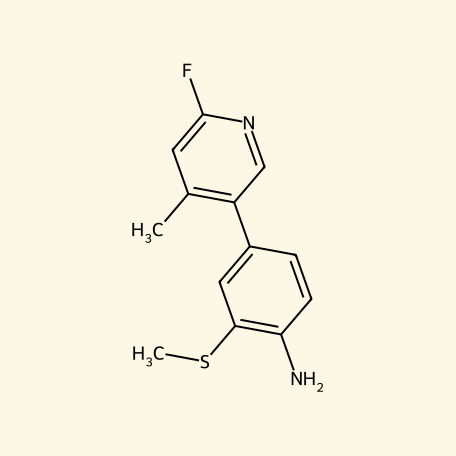 CSc1cc(-c2cnc(F)cc2C)ccc1N